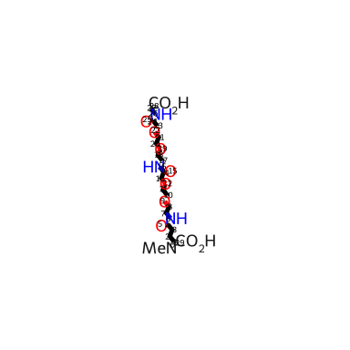 CNC(CCC(=O)NCCOCCOCC(=O)NCCOCCOCC(=O)NCC(=O)O)C(=O)O